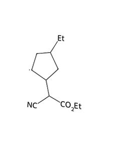 [CH2]CC1C[CH]C(C(C#N)C(=O)OCC)C1